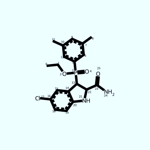 CCOP(=O)(c1cc(C)cc(C)c1)C1c2cc(Cl)ccc2NC1C(N)=O